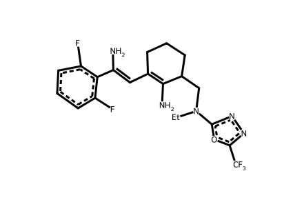 CCN(CC1CCCC(/C=C(\N)c2c(F)cccc2F)=C1N)c1nnc(C(F)(F)F)o1